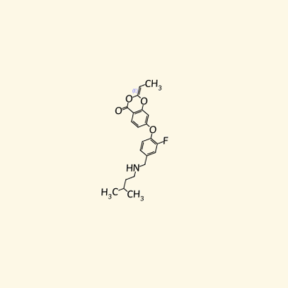 C/C=C1/OC(=O)c2ccc(Oc3ccc(CNCCC(C)C)cc3F)cc2O1